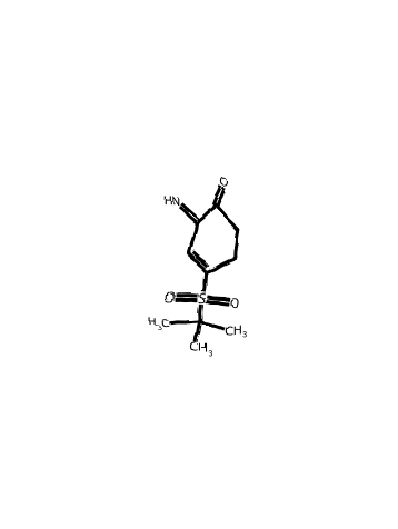 CC(C)(C)S(=O)(=O)C1=CC(=N)C(=O)CC1